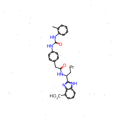 Cc1ccccc1NC(=O)Nc1ccc(CC(=O)NC(CC(C)C)c2nc3c(C(=O)O)cccc3[nH]2)cc1